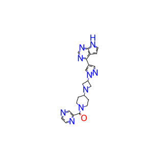 O=C(c1cnccn1)N1CCC(N2CC(n3cc(-c4ncnc5[nH]ccc45)cn3)C2)CC1